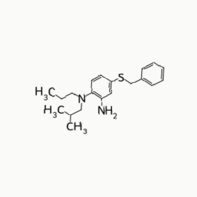 CCCN(CC(C)C)c1ccc(SCc2ccccc2)cc1N